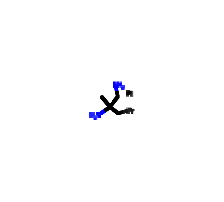 CC(C)CC(C)(N)CN.[Pt]